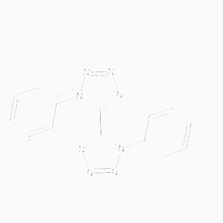 c1ccc(-n2nnnc2-c2nnnn2-c2ccccc2)cc1